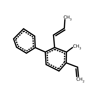 C=Cc1ccc(-c2ccccc2)c(C=CC)c1C